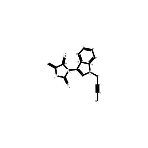 C=C1SC(=O)N(c2cn(CC#CC)c3ccccc23)C1=O